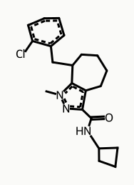 Cn1nc(C(=O)NC2CCC2)c2c1C(Cc1ccccc1Cl)CCCC2